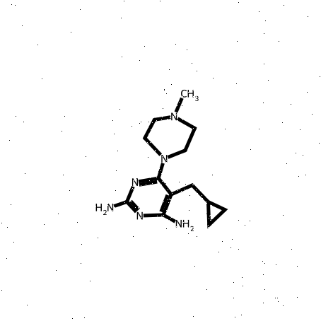 CN1CCN(c2nc(N)nc(N)c2CC2CC2)CC1